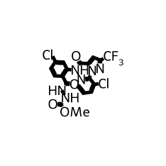 COC(=O)NNC(=O)c1ccc(Cl)cc1NC(=O)c1cc(C(F)(F)F)nn1-c1ncccc1Cl